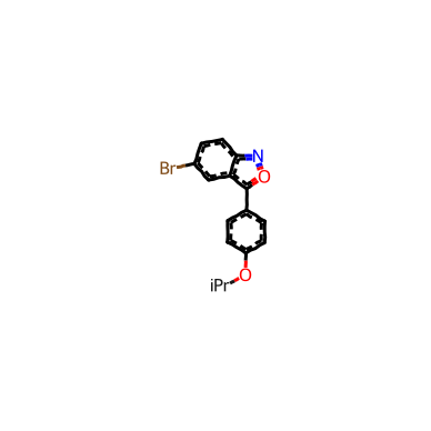 CC(C)Oc1ccc(-c2onc3ccc(Br)cc23)cc1